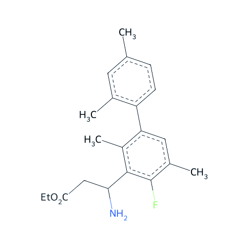 CCOC(=O)CC(N)c1c(C)c(-c2ccc(C)cc2C)cc(C)c1F